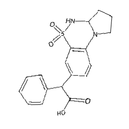 O=C(O)C(c1ccccc1)c1ccc2c(c1)S(=O)(=O)NC1CCCN21